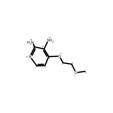 COCCOc1ccnc(N)c1N